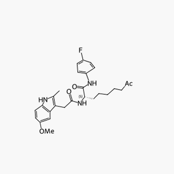 COc1ccc2[nH]c(C)c(CC(=O)N[C@@H](CCCCCC(C)=O)C(=O)Nc3ccc(F)cc3)c2c1